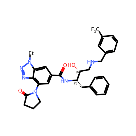 CCn1nnc2c(N3CCCC3=O)cc(C(=O)N[C@@H](Cc3ccccc3)[C@H](O)CNCc3cccc(C(F)(F)F)c3)cc21